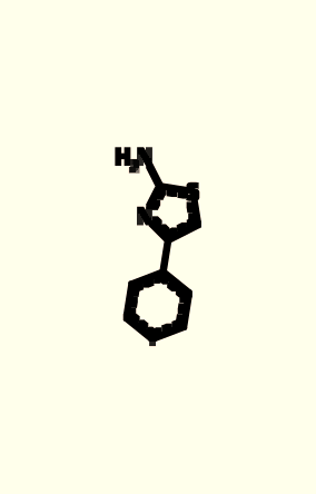 Nc1nc(-c2cc[c]cc2)cs1